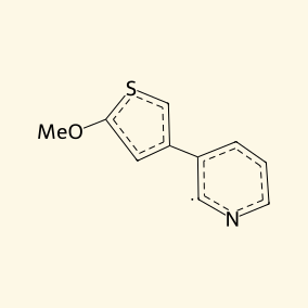 COc1cc(-c2[c]nccc2)cs1